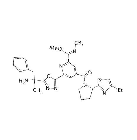 CCc1csc(C2CCCN2C(=O)c2cc(/C(=N/C)OC)nc(-c3nnc(C(C)(N)Cc4ccccc4)o3)c2)n1